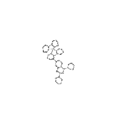 c1ccc(-c2nc(-c3ccccc3)c3ccc(-c4cccc5c4-c4ccccc4C54c5ccccc5-c5ccccc54)cc3n2)cc1